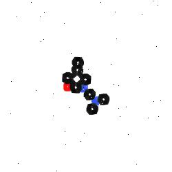 c1ccc(N(c2ccccc2)c2ccc(-n3c4cccc5c6cc7ccccc7cc6c6cccc7oc8ccc3c(c8c76)c54)cc2)cc1